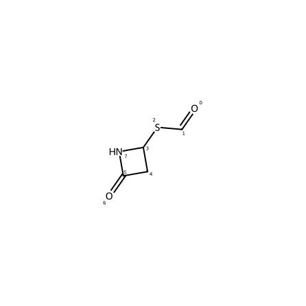 O=CSC1CC(=O)N1